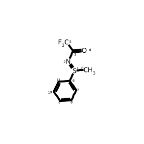 CS(=NC(=O)C(F)(F)F)c1ccccc1